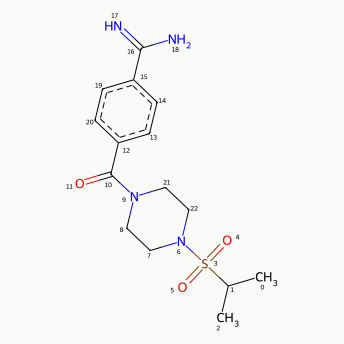 CC(C)S(=O)(=O)N1CCN(C(=O)c2ccc(C(=N)N)cc2)CC1